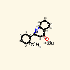 Cc1ccccc1-c1cc(OC(C)(C)C)c2ccccc2n1